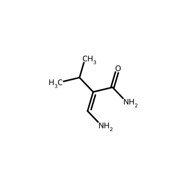 CC(C)C(=CN)C(N)=O